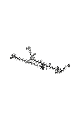 CNCOCCC(CO)OP(=O)(O)OCCCCC(=O)NCC(CNC(=O)CCCCOP(=O)(O)OC(CO)CCOCNC)OP(=O)(O)OCCOCCOCCOCCOCCOCCOP(=O)(O)OI